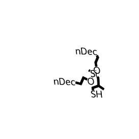 CCCCCCCCCCCCO[Si](C)(CC(C)CS)OCCCCCCCCCCCC